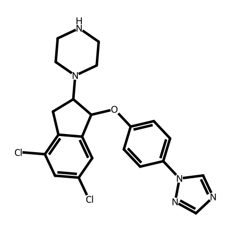 Clc1cc(Cl)c2c(c1)C(Oc1ccc(-n3cncn3)cc1)C(N1CCNCC1)C2